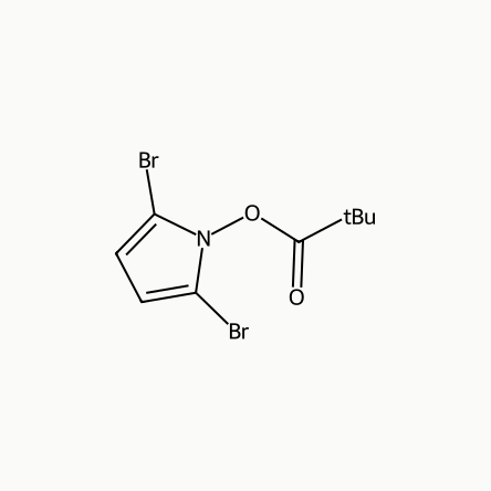 CC(C)(C)C(=O)On1c(Br)ccc1Br